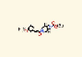 CC(C)(C)OC(=O)N1C[C@H]2CCN(C(=O)C=Cc3cccc(OC(F)(F)F)c3)CC[C@H]2C1